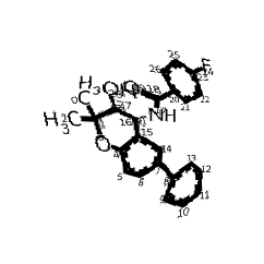 CC1(C)Oc2ccc(-c3ccccc3)cc2[C@@H](NC(=O)c2ccc(F)cc2)[C@@H]1O